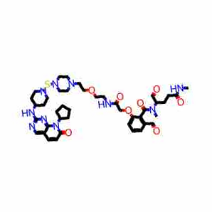 CNC(=O)CCC(C=O)N(C)C(=O)c1c(C=O)cccc1OCC(=O)NCCOCCN1CCN(SN2CCC(Nc3ncc4ccc(=O)n(C5CCCC5)c4n3)CC2)CC1